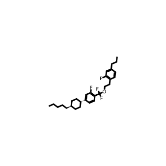 CCCCC[C@H]1CC[C@H](c2ccc(C(F)(F)OCCc3ccc(CCC)cc3F)c(F)c2)CC1